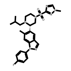 Cc1cc2c(cnn2-c2ccc(F)cc2)cc1[C@H]1CN(S(=O)(=O)c2ncn(C)n2)CCN1CC(C)C